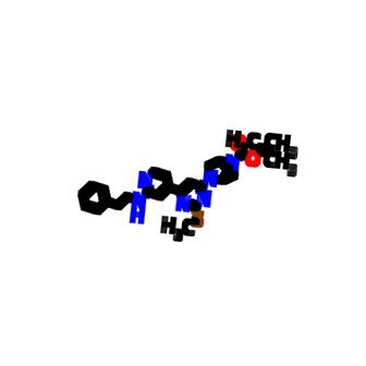 CSc1nc(-c2ccnc(NCCc3ccccc3)c2)cc(N2CC3CC2CN3C(=O)OC(C)(C)C)n1